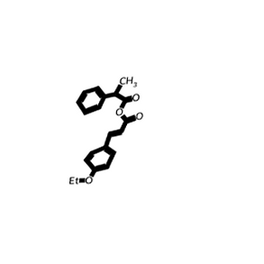 CCOc1ccc(/C=C/C(=O)OC(=O)C(C)c2ccccc2)cc1